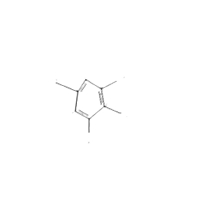 Cc1cc(I)c(I)c(I)c1